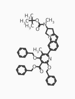 Cc1c(-c2ccc3cc4n(c3c2)CC(N(C)C(=O)OC(C)(C)C)C4)nc(OCc2ccccc2)c(C(=O)OCc2ccccc2)c1OCc1ccccc1